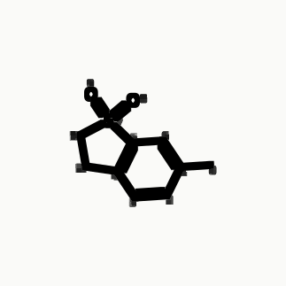 Cc1ccc2c(c1)S(=O)(=O)CC2